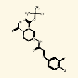 CC(C)(C)OC(=O)N1C[Si@@H](NC(=O)COc2ccc(Cl)c(F)c2)CC[C@@H]1C(=O)O